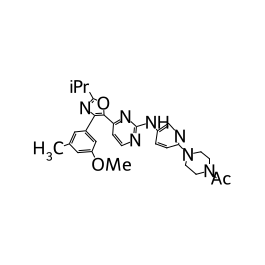 COc1cc(C)cc(-c2nc(C(C)C)oc2-c2ccnc(Nc3ccc(N4CCN(C(C)=O)CC4)nc3)n2)c1